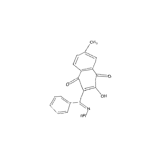 CCCN=C(C1=C(O)C(=O)c2cc(C)ccc2C1=O)c1ccccc1